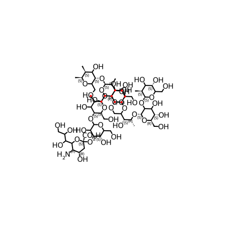 CC1C(O)[C@H](OC2OC(CO)[C@H](O)[C@H](O[C@]3(C(=O)O)C[C@@H](O)[C@@H](N)C(C(O)C(O)CO)O3)C2O)[C@H](CO)O[C@H]1O[C@@H]1C(O)[C@H](O)C(CO)O[C@@H]1OCC(O[C@H](CO)O[C@@H]1C(CO)O[C@@H](O[C@@H]2C(CO)O[C@@H](C)[C@@H](C)C2O)[C@@H](C)C1O)[C@@H](O)[C@@H](C)O[C@H]1O[C@H](CO)[C@@H](O)C(O)C1O[C@@H]1OC(CO)[C@@H](O)C(O)[C@@H]1C